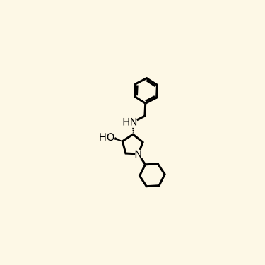 O[C@@H]1CN(C2CCCCC2)C[C@H]1NCc1ccccc1